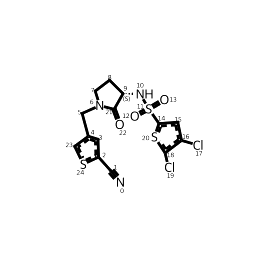 N#Cc1cc(CN2CC[C@H](NS(=O)(=O)c3cc(Cl)c(Cl)s3)C2=O)cs1